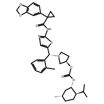 Cc1ccccc1[C@H](c1cnc(NC(=O)C2(c3ccc4c(c3)OCO4)CC2)s1)N1CC[C@@H](OC(=O)O[C@H]2C[C@@H](C)CC[C@@H]2C(C)C)C1